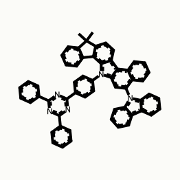 CC1(C)c2ccccc2-c2c1ccc1c3c4ccccc4c(-n4c5ccccc5c5ccccc54)cc3n(-c3ccc(-c4nc(-c5ccccc5)nc(-c5ccccc5)n4)cc3)c21